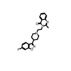 Cc1nc2ccccc2c(=O)n1CCN1CCC(c2noc3cc(F)ccc23)CC1